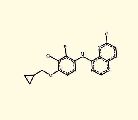 Fc1c(Nc2ncnc3ccc(Cl)nc23)ccc(OCC2CC2)c1Cl